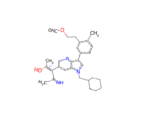 CC(=N)/C(=C(/C)O)c1cnc2c(-c3ccc(C)c(CCOC=O)c3)cn(CC3CCCCC3)c2c1